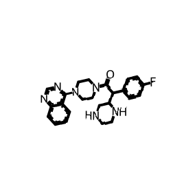 O=C(C(c1ccc(F)cc1)C1CNCCN1)N1CCN(c2ncnc3ccccc23)CC1